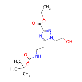 CCOC(=O)c1nc(CCNC(=O)OC(C)(C)C)n(CCO)n1